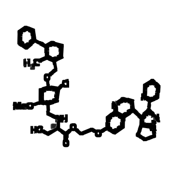 COc1cc(OCc2cccc(-c3ccccc3)c2C)c(Cl)cc1CN[C@H](CO)C(=O)OCCOc1ccc2c(-c3c(-c4ccccn4)nn4c3CCC4)ccnc2c1